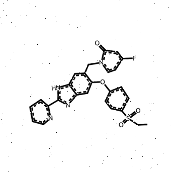 CCS(=O)(=O)c1ccc(Oc2cc3nc(-c4ccccn4)[nH]c3cc2Cn2ccc(F)cc2=O)cc1